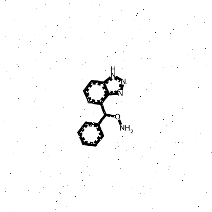 NOC(c1ccccc1)c1cccc2[nH]nnc12